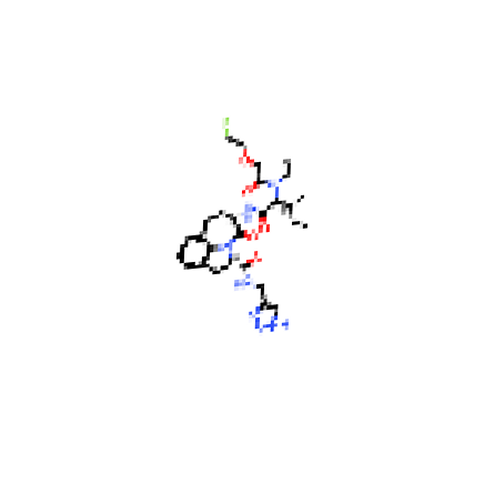 CC[C@H](C)[C@@H](C(=O)N[C@H]1CCc2cccc3c2N(C1=O)[C@H](C(=O)NCc1c[nH]nn1)C3)N(CC)C(=O)COCCF